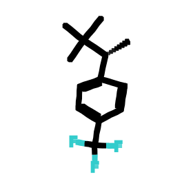 C[C@H](c1ccc(C(F)(F)F)cc1)C(C)(C)C